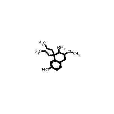 CCCC1(CCC)c2cc(O)ccc2CC(OC)C1N